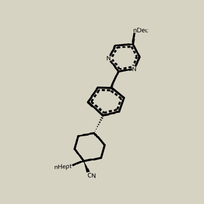 CCCCCCCCCCc1cnc(-c2ccc([C@H]3CC[C@@](C#N)(CCCCCCC)CC3)cc2)nc1